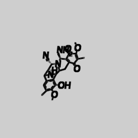 COC1=C(C)C(=O)C2=C(C1=O)[C@H](CN)N1C(C2)C2c3c(cc(C)c(OC)c3O)C3[C@@H]([C@@H]1C#N)N23